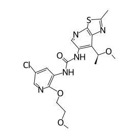 COCCOc1ncc(Cl)cc1NC(=O)Nc1cnc2sc(C)nc2c1[C@H](C)OC